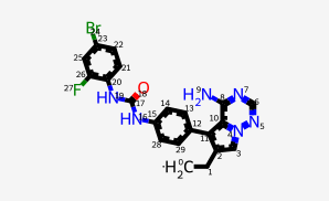 [CH2]Cc1cn2ncnc(N)c2c1-c1ccc(NC(=O)Nc2ccc(Br)cc2F)cc1